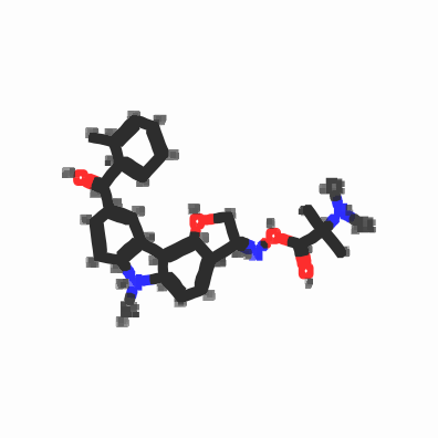 CCN(CC)C(C)(C)C(=O)O/N=C1\COc2c1ccc1c2c2cc(C(=O)c3ccccc3C)ccc2n1CC